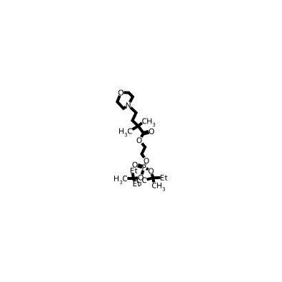 CCC(C)(C)OP(=O)(OCCOC(=O)C(C)(C)CCN1CCOCC1)OC(C)(CC)CC